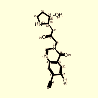 C#Cc1cc2ncn(CC(=O)C[C@H]3NCC[C@@H]3O)c(=O)c2cc1Cl